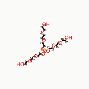 OCCOCCOCCOP(OCCOCCOCCO)OCCOCCOCCO